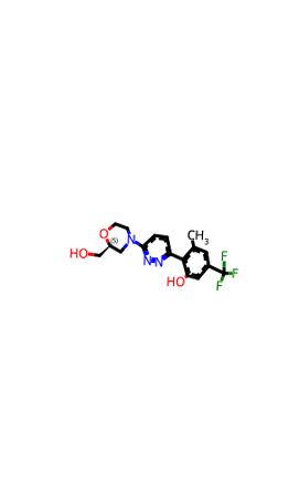 Cc1cc(C(F)(F)F)cc(O)c1-c1ccc(N2CCO[C@H](CO)C2)nn1